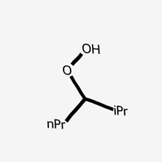 CCCC(OO)C(C)C